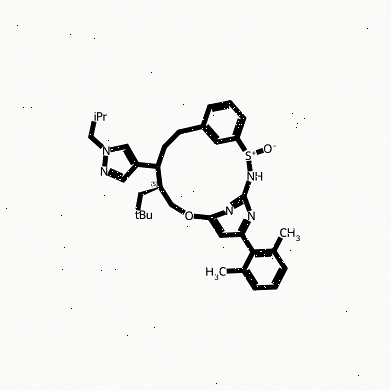 Cc1cccc(C)c1-c1cc2nc(n1)N[S+]([O-])c1cccc(c1)CCC(c1cnn(CC(C)C)c1)[C@H](CC(C)(C)C)CO2